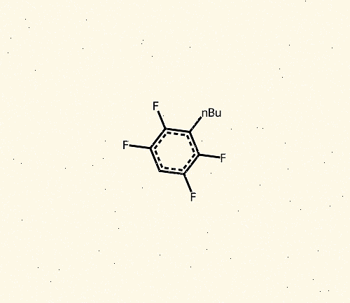 [CH2]CCCc1c(F)c(F)cc(F)c1F